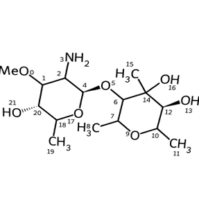 COC1C(N)[C@@H](OC2C(C)OC(C)[C@H](O)C2(C)O)OC(C)[C@@H]1O